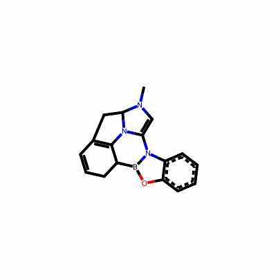 CN1C=C2N3B(Oc4ccccc43)C3CC=CC4=C3N2C1C4